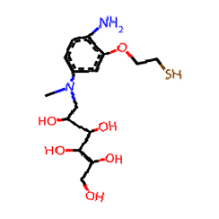 CN(CC(O)C(O)C(O)C(O)CO)c1ccc(N)c(OCCS)c1